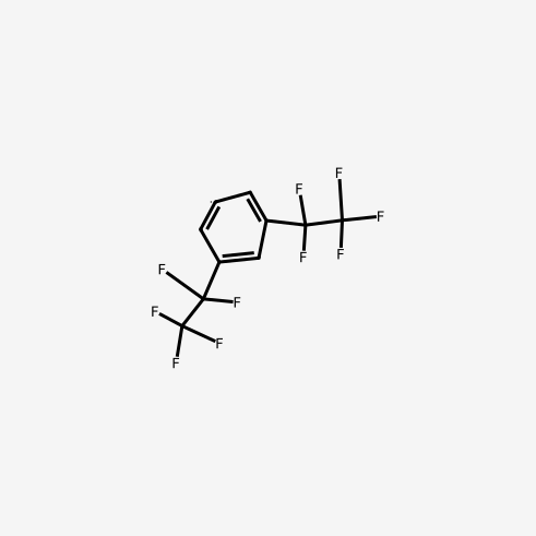 FC(F)(F)C(F)(F)c1c[c]cc(C(F)(F)C(F)(F)F)c1